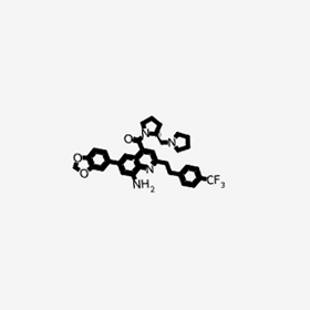 Nc1cc(-c2ccc3c(c2)OCO3)cc2c(C(=O)N3CCC[C@H]3CN3CCCC3)cc(CCc3ccc(C(F)(F)F)cc3)nc12